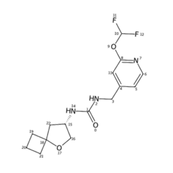 O=C(NCc1ccnc(OC(F)F)c1)N[C@@H]1COC2(CCC2)C1